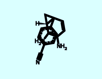 N#Cc1ccc(C23C=CC(N)=C(N)[C@H]2C3)cc1